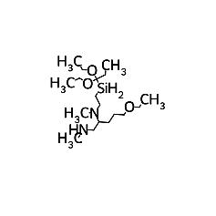 CCOCCCC(CNC)N(C)CC[SiH2]C(CC)(OCC)OCC